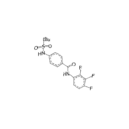 CC(C)(C)S(=O)(=O)Nc1ccc(C(=O)Nc2ccc(F)c(F)c2F)cc1